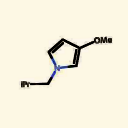 COc1ccn(CC(C)C)c1